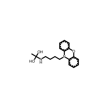 CC(O)(O)NCCCCN1c2ccccc2Oc2ccccc21